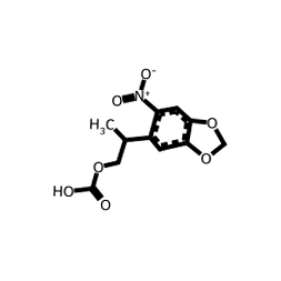 CC(COC(=O)O)c1cc2c(cc1[N+](=O)[O-])OCO2